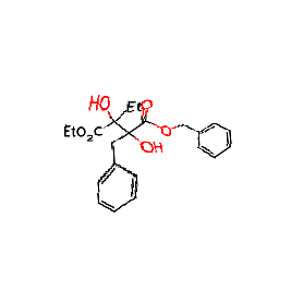 CCOC(=O)C(O)(CC)C(O)(Cc1ccccc1)C(=O)OCc1ccccc1